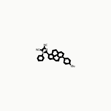 [C-]#[N+]c1nc(-c2ccc3ccc4c(-c5ccc(C(C)(C)C)cc5)ccc5ccc2c3c54)n(-c2ccccc2)c1C#N